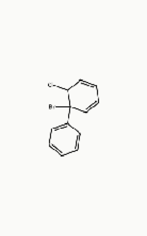 ClC1C=CC=CC1(Br)c1ccccc1